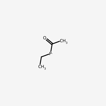 CC[P]C(C)=O